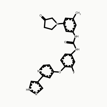 Cc1cc(NC(=O)Nc2ccc(Oc3ccnc(-c4cn[nH]c4)c3)c(F)c2)cc(N2CCC(=O)C2)c1